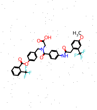 COc1ccc(CC(=O)Nc2ccc(C(=O)N(CC(=O)O)Cc3ccc(OC(=O)c4ccccc4C(F)(F)F)cc3)cc2)c(C(F)(F)F)c1